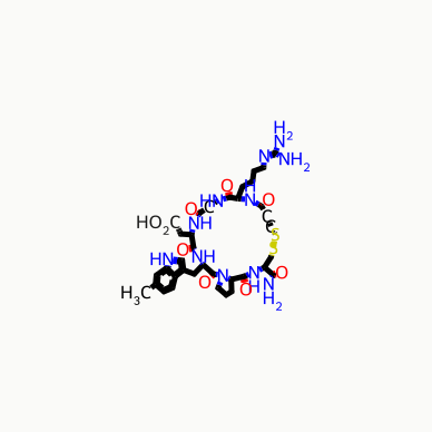 Cc1ccc2c(CC3NC(=O)C(CC(=O)O)NC(=O)CNC(=O)C(CCCCN=C(N)N)NC(=O)CCSSCC(C(N)=O)NC(=O)C4CCCN4C3=O)c[nH]c2c1